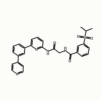 CC(C)S(=O)(=O)c1cccc(C(=O)NCC(=O)Nc2cccc(-c3cccc(-c4ccncc4)c3)n2)c1